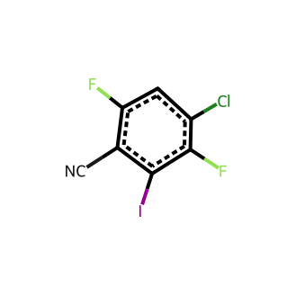 N#Cc1c(F)cc(Cl)c(F)c1I